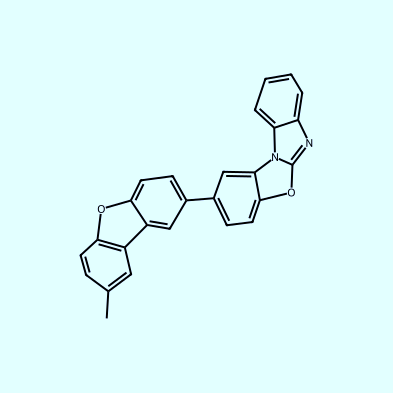 Cc1ccc2oc3ccc(-c4ccc5oc6nc7ccccc7n6c5c4)cc3c2c1